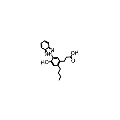 CCCCc1cc(O)c(-n2nc3ccccc3n2)cc1CCC(=O)O